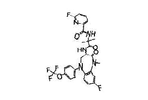 CN1C(=O)[C@H](NC(=O)C(C)(C)NC(=O)c2cccc(F)n2)CN(c2ccc(OC(F)(F)F)cc2)c2ccc(F)cc21